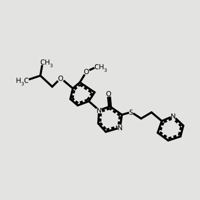 COc1cc(-n2ccnc(SCCc3ccccn3)c2=O)ccc1OCC(C)C